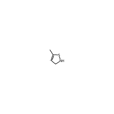 CC1=[C]CNS1